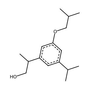 C[C](CO)c1cc(OCC(C)C)cc(C(C)C)c1